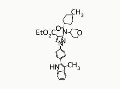 CCOC(=O)c1cn(-c2ccc(-c3[nH]c4ccccc4c3C)cc2)nc1N(C(=O)[C@H]1CC[C@H](C)CC1)C1CCOCC1